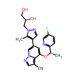 Cc1c(-c2cc(O[C@H](C)c3ccc(F)cn3)c3c(C#N)cnn3c2)cnn1C[C@H](O)CO